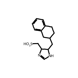 O=S(=O)(O)CC1N=CNC1CC1CCc2ccccc2C1